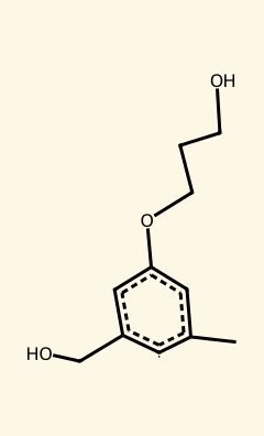 Cc1[c]c(CO)cc(OCCCO)c1